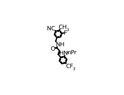 CCCNc1cc(C(F)(F)F)ccc1/C=C/C(=O)NCc1cc(F)c(C)c(C#N)c1